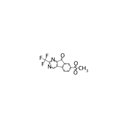 CS(=O)(=O)c1ccc2c(c1)C(=O)c1nc(C(F)(F)F)ncc1-2